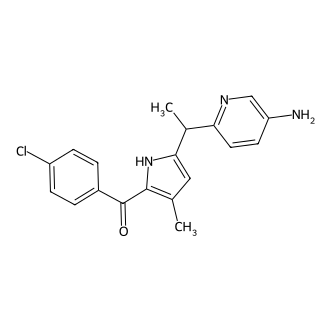 Cc1cc(C(C)c2ccc(N)cn2)[nH]c1C(=O)c1ccc(Cl)cc1